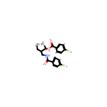 CC(C)CC(CNC(=O)c1ccc(F)cc1)C(OC(=O)c1ccc(F)cc1)C(C)C